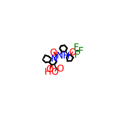 O=C(O)c1cn(C(=O)Nc2ccccc2-c2ccccc2OC(F)(F)F)c2ccccc2c1=O